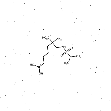 CN(C)S(=O)(=O)NCC(N)(CCCCB(O)O)C(=O)O